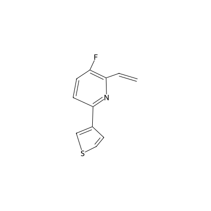 C=Cc1nc(-c2ccsc2)ccc1F